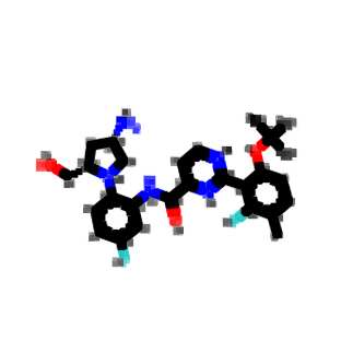 [2H]C([2H])([2H])Oc1ccc(C)c(F)c1-c1nccc(C(=O)Nc2cc(F)ccc2N2C[C@@H](N)C[C@H]2CO)n1